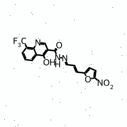 O=C(NN=CC=Cc1ccc([N+](=O)[O-])o1)c1cnc2c(C(F)(F)F)cccc2c1O